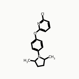 CC1CCC(C)N1c1ccc(Oc2cccc(Cl)n2)cc1